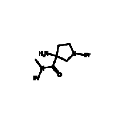 CC(C)N1CCC(N)(C(=O)N(C)C(C)C)C1